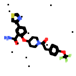 NC(=O)c1cc(-c2cscn2)ccc1OC1CCN(C(=O)Cc2ccc(OC(F)(F)F)cc2)CC1